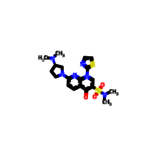 CN(C)[C@@H]1CCN(c2ccc3c(=O)c(S(=O)(=O)N(C)C)cn(-c4nccs4)c3n2)C1